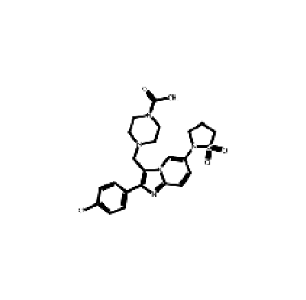 CC(=O)N1CCN(Cc2c(-c3ccc(Cl)cc3)nc3ccc(N4CCCS4(=O)=O)cn23)CC1